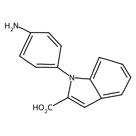 Nc1ccc(-n2c(C(=O)O)cc3ccccc32)cc1